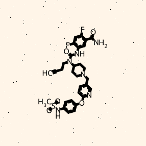 C#CCCN(C(=O)Nc1cc(C(N)=O)c(F)cc1F)C1CCN(Cc2ccc(Oc3ccc(NS(C)(=O)=O)cc3)nc2)CC1